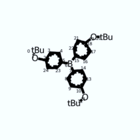 CC(C)(C)Oc1ccc(B(c2ccc(OC(C)(C)C)cc2)c2ccc(OC(C)(C)C)cc2)cc1